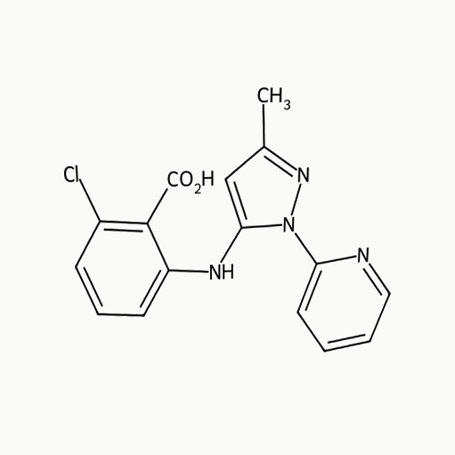 Cc1cc(Nc2cccc(Cl)c2C(=O)O)n(-c2ccccn2)n1